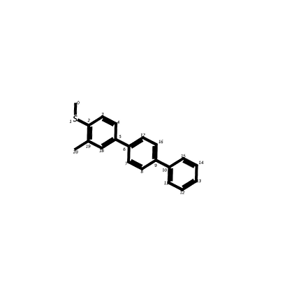 CSc1ccc(-c2ccc(-c3ccccc3)cc2)cc1C